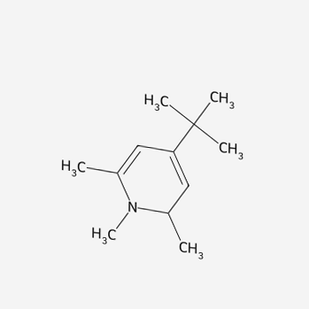 CC1=CC(C(C)(C)C)=CC(C)N1C